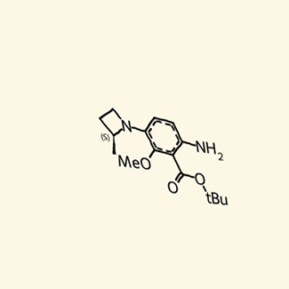 COc1c(N2CC[C@@H]2C)ccc(N)c1C(=O)OC(C)(C)C